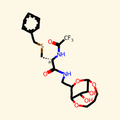 O=C(NCC1OC2OCCCOC1C(O)C2O)[C@H](CSCc1ccccc1)NC(=O)C(F)(F)F